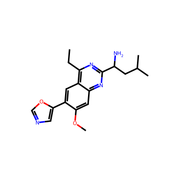 CCc1nc(C(N)CC(C)C)nc2cc(OC)c(-c3cnco3)cc12